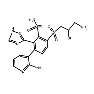 NCC(O)CS(=O)(=O)c1ccc(-c2cccnc2N)c(-c2nn[nH]n2)c1S(N)(=O)=O